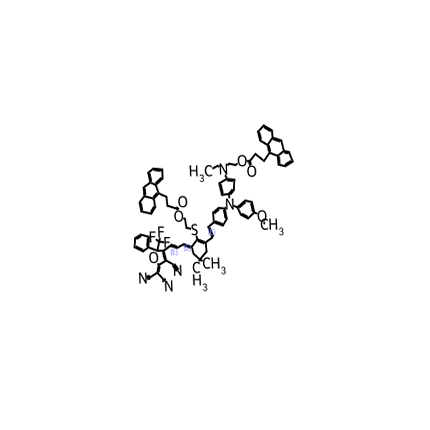 CCN(CCOC(=O)CCc1c2ccccc2cc2ccccc12)c1ccc(N(c2ccc(/C=C/C3=C(SCCOC(=O)CCc4c5ccccc5cc5ccccc45)C(=C/C=C/C4=C(C#N)C(=C(C#N)C#N)OC4(c4ccccc4)C(F)(F)F)/CC(C)(C)C3)cc2)c2ccc(OC)cc2)cc1